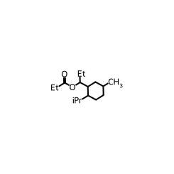 CCC(=O)OC(CC)C1CC(C)CCC1C(C)C